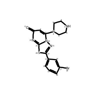 O=c1cc(N2CCNCC2)n2nc(-c3cccc(Br)c3)sc2n1